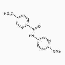 COc1ccc(NC(=O)c2ccc(C(=O)O)cn2)cn1